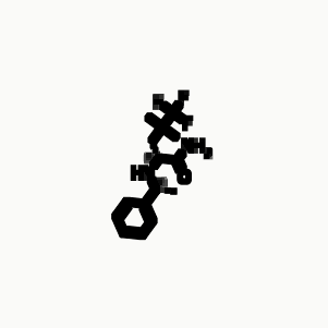 C[C@@H](N[C@H](CC(C)(C)C(F)(F)F)C(N)=O)c1ccccc1